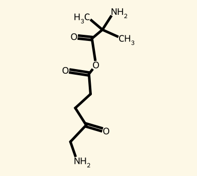 CC(C)(N)C(=O)OC(=O)CCC(=O)CN